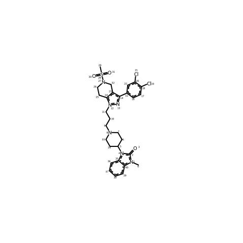 Cn1c(=O)n(C2CCN(CCCn3nc(-c4ccc(Cl)c(Cl)c4)c4c3CCN(S(C)(=O)=O)C4)CC2)c2ccccc21